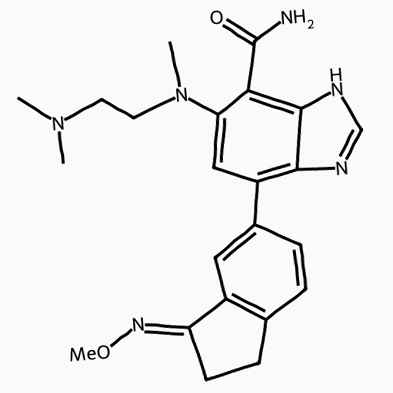 CON=C1CCc2ccc(-c3cc(N(C)CCN(C)C)c(C(N)=O)c4[nH]cnc34)cc21